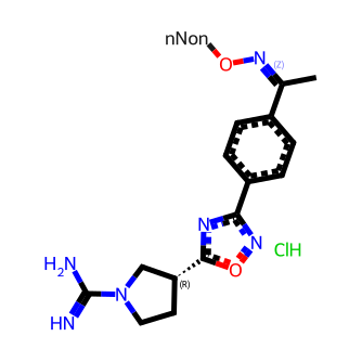 CCCCCCCCCO/N=C(/C)c1ccc(-c2noc([C@@H]3CCN(C(=N)N)C3)n2)cc1.Cl